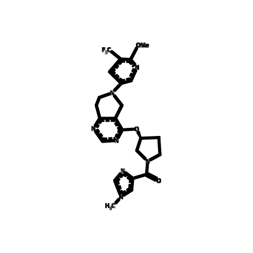 COc1ncc(N2CCc3ncnc(O[C@H]4CCN(C(=O)c5cn(C)cn5)C4)c3C2)cc1C(F)(F)F